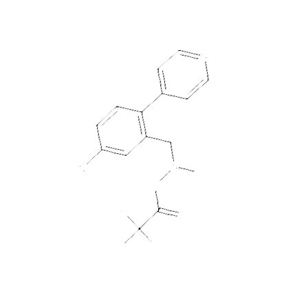 CN(Cc1cc(N)ccc1-c1ccncc1)OC(=O)C(C)(C)C